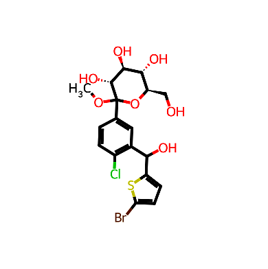 COC1(c2ccc(Cl)c(C(O)c3ccc(Br)s3)c2)O[C@H](CO)[C@@H](O)[C@H](O)[C@H]1O